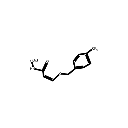 CCCCCCCCNC(=O)/C=C\SCc1ccc(C(F)(F)F)cc1